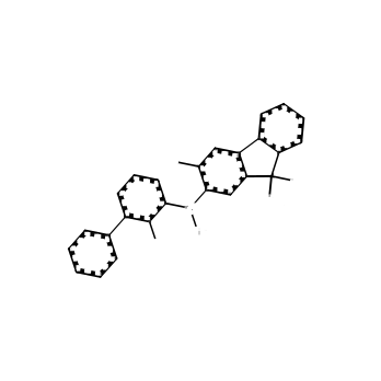 CCc1cc2c(cc1N(c1cccc(-c3ccccc3)c1CC)C(C)C)C(C)(C)c1ccccc1-2